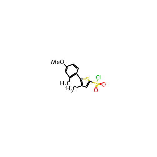 COc1ccc(-c2sc(S(=O)(=O)Cl)cc2C)c(C)c1